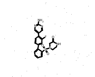 Nc1ncc(-c2ccc(-c3ccccc3S(=O)(=O)N3CCNC(=O)C3)cc2F)cn1